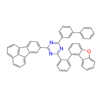 c1ccc(-c2cccc(-c3nc(-c4ccc5c(c4)-c4cccc6cccc-5c46)nc(-c4ccccc4-c4cccc5oc6ccccc6c45)n3)c2)cc1